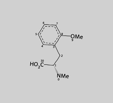 CN[C@@H](Cc1ccccc1OC)C(=O)O